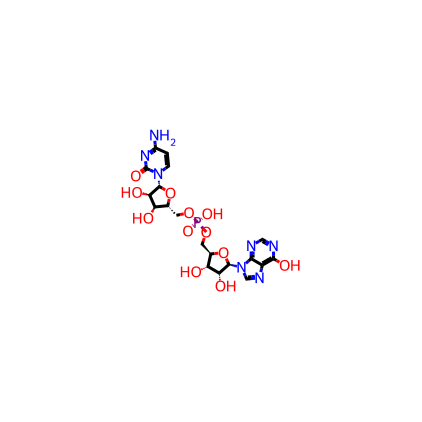 Nc1ccn([C@@H]2O[C@H](COP(=O)(O)OC[C@H]3O[C@@H](n4cnc5c(O)ncnc54)[C@H](O)[C@@H]3O)[C@@H](O)[C@H]2O)c(=O)n1